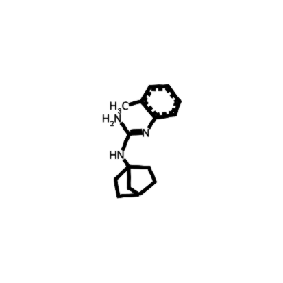 Cc1ccccc1N=C(N)NC12CCC(CC1)C2